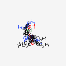 Nc1nc(O)c2c(CCc3ccc(C(=O)N[C@@H](CCC(=O)O)C(=O)C(C[C@H](N)C(=O)O)(C(=O)O)C(=O)[C@@H](N)CCC(=O)O)cc3Cl)c[nH]c2n1